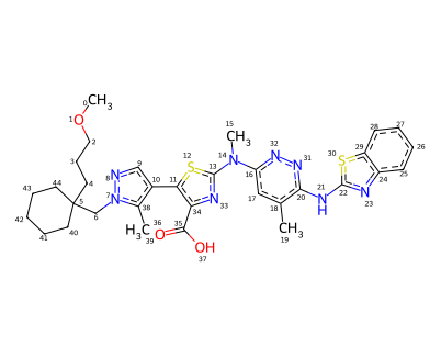 COCCCC1(Cn2ncc(-c3sc(N(C)c4cc(C)c(Nc5nc6ccccc6s5)nn4)nc3C(=O)O)c2C)CCCCC1